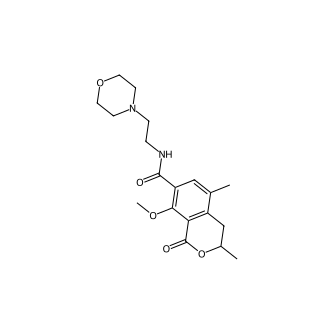 COc1c(C(=O)NCCN2CCOCC2)cc(C)c2c1C(=O)OC(C)C2